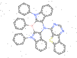 c1ccc(B2c3c(c4ccccc4n3-c3ccccc3)N(c3ncnc4c3sc3ccccc34)c3c2n(-c2ccccc2)c2ccccc32)cc1